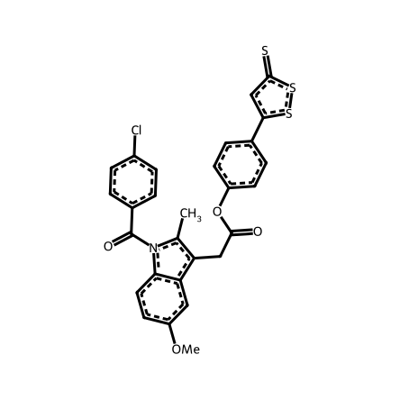 COc1ccc2c(c1)c(CC(=O)Oc1ccc(-c3cc(=S)ss3)cc1)c(C)n2C(=O)c1ccc(Cl)cc1